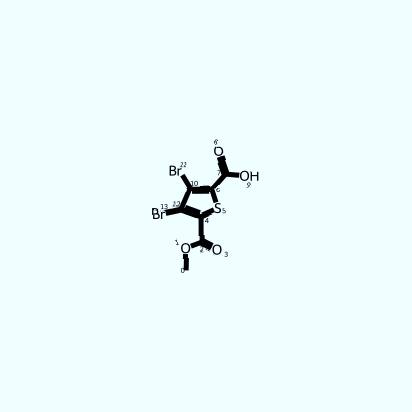 COC(=O)c1sc(C(=O)O)c(Br)c1Br